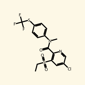 CCS(=O)(=O)c1cc(Cl)cnc1C(=O)N(C)c1ccc(SC(F)(F)F)cc1